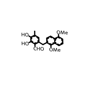 COc1cccc2c(OC)c(Cc3cc(C)c(O)c(O)c3C=O)ccc12